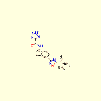 BC(B)(B)c1nc(-c2ccc3c(c2)CC[C@H]3NC(=O)c2nnn(C)n2)no1